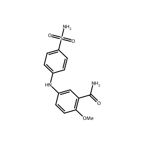 COc1ccc(Nc2ccc(S(N)(=O)=O)cc2)cc1C(N)=O